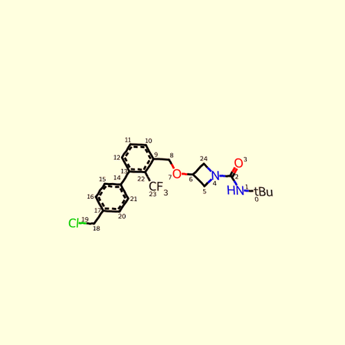 CC(C)(C)NC(=O)N1CC(OCc2cccc(-c3ccc(CCl)cc3)c2C(F)(F)F)C1